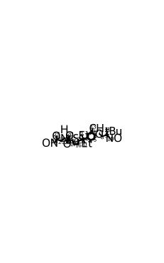 CCC(CC)(c1ccc(OCC(N=O)C(C)(C)C)c(C)c1)c1ccc(S(=O)(=O)NCC(=O)N=O)s1